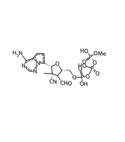 COP(=O)(O)OP(=O)(O)OP(=O)(O)OC[C@H]1O[C@@H](c2ccc3c(N)ncnn23)[C@@](C)(C#N)C1C=O